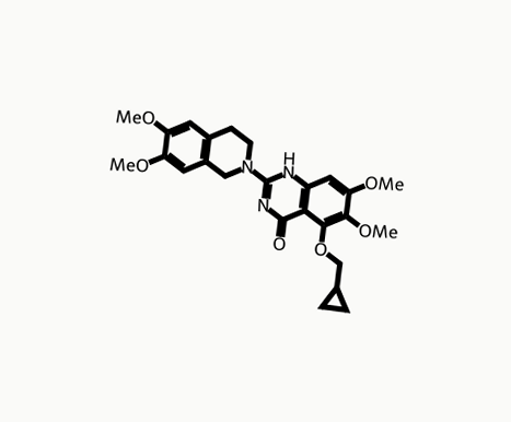 COc1cc2c(cc1OC)CN(c1nc(=O)c3c(OCC4CC4)c(OC)c(OC)cc3[nH]1)CC2